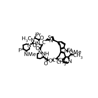 CCn1c(-c2cccnc2[C@H](C)OC)c2c3cc(ccc31)-c1csc(n1)C[C@H](NC(=O)C(C(C)C)N(C)C(=O)N1CC[C@@H](F)[C@H](NC)C1)C(=O)N1CCC[C@H](N1)C(=O)OCC(C)(C)C2